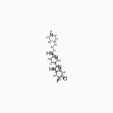 CN1CCC(CCCNc2ccc(-c3nc4cc(Cl)c(F)cc4[nH]3)cn2)CC1